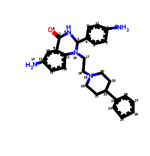 Nc1ccc(C2NC(=O)c3cc(N)ccc3N2CCN2CCC(c3ccccc3)CC2)cc1